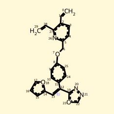 C=Cc1ccc(COc2ccc(/C(=C\c3ccco3)c3nnco3)cc2)nc1C=C